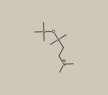 C[SiH](C)CC[Si](C)(C)O[Si](C)(C)C